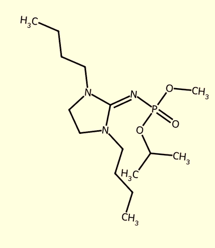 CCCCN1CCN(CCCC)C1=NP(=O)(OC)OC(C)C